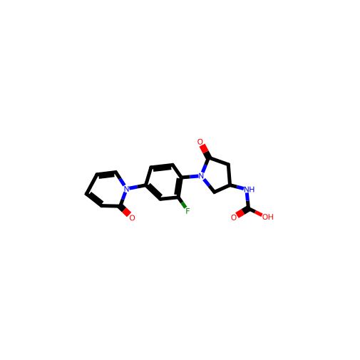 O=C(O)NC1CC(=O)N(c2ccc(-n3ccccc3=O)cc2F)C1